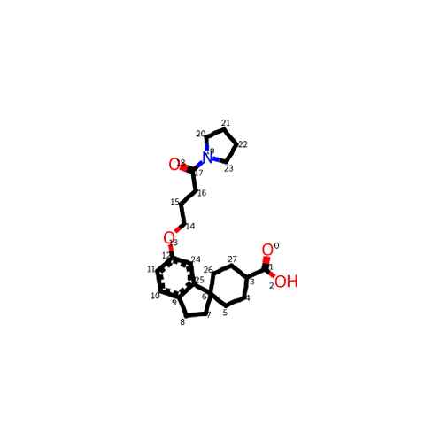 O=C(O)C1CCC2(CCc3ccc(OCCCC(=O)N4CCCC4)cc32)CC1